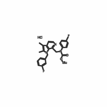 Cc1c(C)n(Cc2cccc(F)c2)c2c(CN(C(=O)OC(C)(C)C)c3ccc(F)cc3)nccc12.Cl